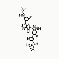 CN(C)CCNc1cc(F)cc(-c2ccnc3[nH]c(-c4n[nH]c5cc(F)c(-c6cncc(NC(O)CC(C)(C)C)c6)cc45)nc23)c1